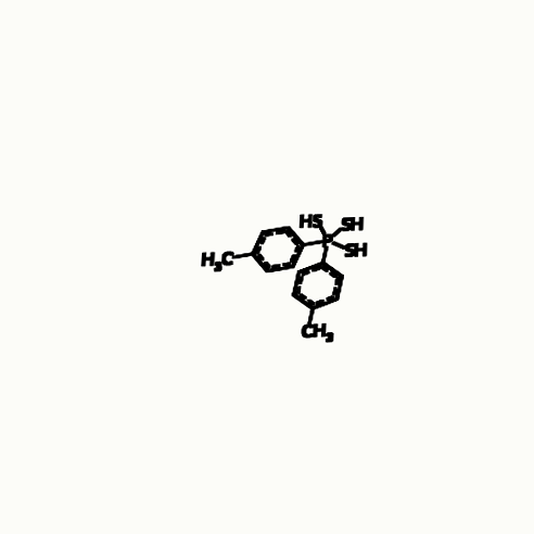 Cc1ccc(P(S)(S)(S)c2ccc(C)cc2)cc1